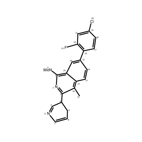 CNc1nc(C2C=NC=CC2)c(C)c2ccc(-c3ccc(Cl)cc3F)cc12